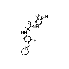 CC(C)(Nc1ccc(CN2CCCCC2)c(F)c1)C(=O)Nc1ccc(C#N)c(C(F)(F)F)c1